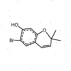 CC1(C)C=Cc2cc(Br)c(O)cc2O1